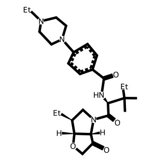 CC[C@H]1CN(C(=O)[C@@H](NC(=O)c2ccc(N3CCN(CC)CC3)cc2)C(C)(C)CC)[C@@H]2C(=O)CO[C@H]12